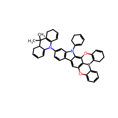 CC1(C)C2=C(C=CCC2)N(c2ccc3c4cc5c6c(c4n(C4=CC=CCC4)c3c2)OC2=C(CCC=C2)B6c2ccccc2O5)C2=CC=CCC21